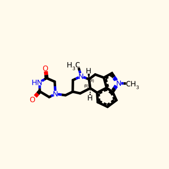 CN1CC(CN2CC(=O)NC(=O)C2)C[C@@H]2c3cccc4c3c(cn4C)C[C@H]21